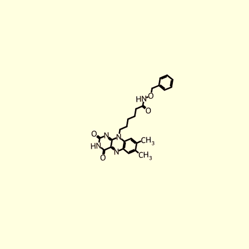 Cc1cc2nc3c(=O)[nH]c(=O)nc-3n(CCCCCC(=O)NOCc3ccccc3)c2cc1C